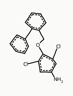 Nc1cc(Cl)c(OCc2ccccc2-c2ccccc2)c(Cl)c1